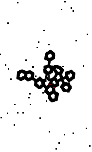 c1ccc(-c2ccc(N(c3cc(-c4ccc5ccccc5c4)ccc3-c3ccc4ccccc4c3)c3cccc4c3-c3ccccc3C4(c3ccccc3)c3ccccc3)cc2)cc1